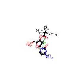 CCCCCC(C)(C)C(=O)OC1[C@@H](CO)O[C@@H](n2ccc(N)nc2=O)C1(F)F